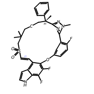 Cn1nc2nc1-c1cc(ccc1F)Oc1c(F)c(F)c3[nH]ccc3c1/C=C/S(=O)(=O)CC(C)(C)CCC[C@]2(C)c1ccccc1